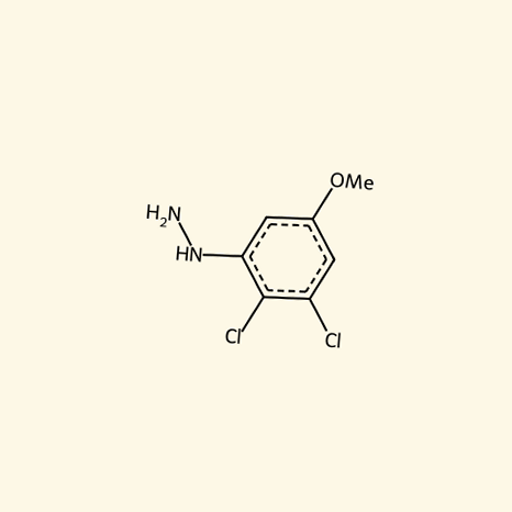 COc1cc(Cl)c(Cl)c(NN)c1